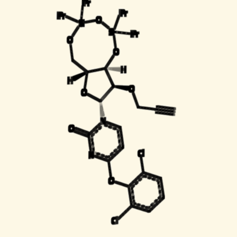 C#CCO[C@@H]1[C@@H]2O[Si](C(C)C)(C(C)C)O[Si](C(C)C)(C(C)C)OC[C@H]2O[C@H]1n1ccc(Oc2c(Cl)cccc2Cl)nc1=O